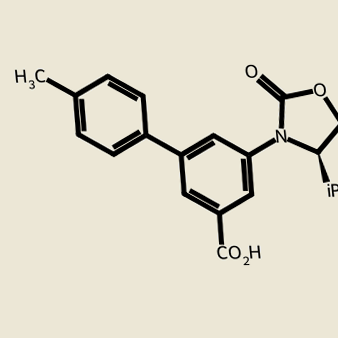 Cc1ccc(-c2cc(C(=O)O)cc(N3C(=O)OC[C@H]3C(C)C)c2)cc1